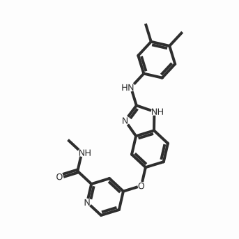 CNC(=O)c1cc(Oc2ccc3[nH]c(Nc4ccc(C)c(C)c4)nc3c2)ccn1